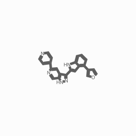 c1cc(-c2ccoc2)c2cc(-c3n[nH]c4cnc(-c5ccncc5)cc34)[nH]c2c1